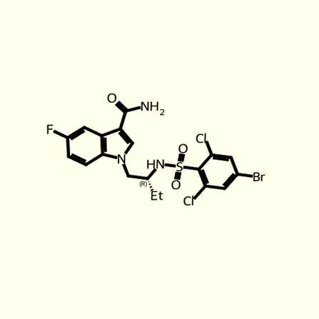 CC[C@H](Cn1cc(C(N)=O)c2cc(F)ccc21)NS(=O)(=O)c1c(Cl)cc(Br)cc1Cl